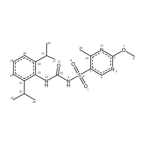 COc1ncc(S(=O)(=O)NC(=O)Nc2c(C(C)C)cccc2C(C)C)c(C)n1